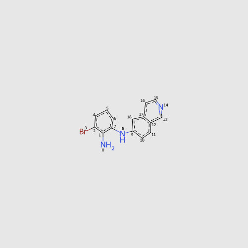 Nc1c(Br)cccc1Nc1ccc2cnccc2c1